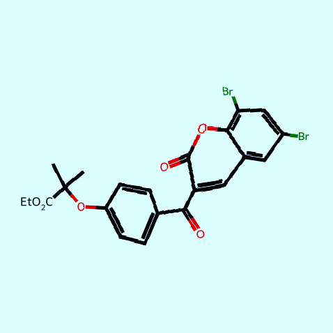 CCOC(=O)C(C)(C)Oc1ccc(C(=O)c2cc3cc(Br)cc(Br)c3oc2=O)cc1